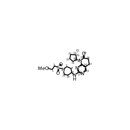 COCCS(=O)(=O)N1CCC(Nc2ncc3c(n2)N([C@@H]2CCC[C@@H]2C)C(=O)CC3)CC1